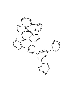 c1ccc(-c2nc(-c3ccccc3)nc(-c3ccc(-c4cccc5c4B4c6ccccc6C6(c7ccccc7-c7ccccc76)c6cccc-5c64)cc3)n2)cc1